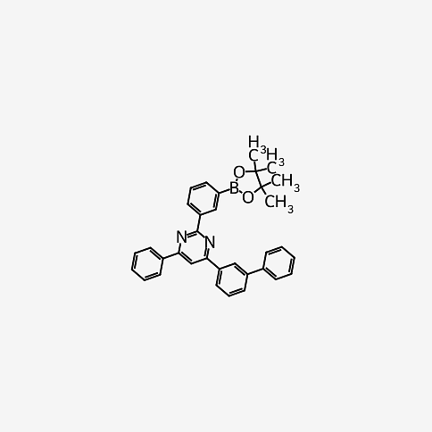 CC1(C)OB(c2cccc(-c3nc(-c4ccccc4)cc(-c4cccc(-c5ccccc5)c4)n3)c2)OC1(C)C